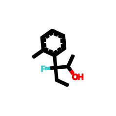 CCC(F)(c1ccccc1C)C(C)O